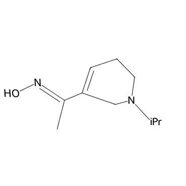 C/C(=N\O)C1=CCCN(C(C)C)C1